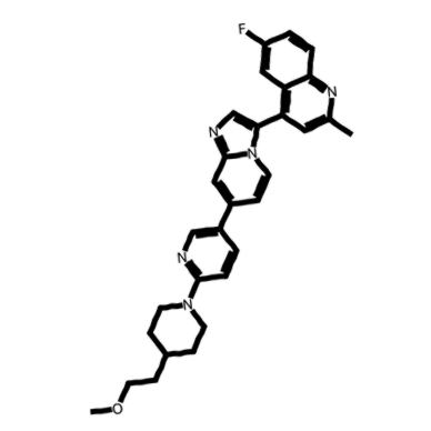 COCCC1CCN(c2ccc(-c3ccn4c(-c5cc(C)nc6ccc(F)cc56)cnc4c3)cn2)CC1